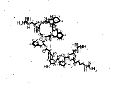 N=C(N)NCCC[C@@H](N)C(=O)N[C@@H](CCCNC(=N)N)C(=O)N1CCC[C@H]1C(=O)N1C[C@H](O)C[C@H]1C(=O)NCC(=O)N[C@@H](Cc1cccs1)C(=O)N[C@H]1CCNC(=O)[C@H](CCCNC(=N)N)NC(=O)[C@@H]2C[C@@H]3CCCC[C@@H]3N2C(=O)[C@@H]2Cc3ccccc3CN2C1=O